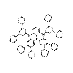 c1ccc(-c2cc(-c3ccccc3)cc(N3c4cc(-c5ccccc5)c(-c5ccccc5)cc4B4c5cc(-c6ccccc6)c(-c6ccccc6)cc5N(c5cc(-c6ccccc6)cc(-c6ccccc6)c5)c5cccc3c54)c2)cc1